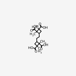 CC1(C(=O)O)CC(CCC2CC(C)(C(=O)O)C2(C)C(=O)O)C1(C)C(=O)O